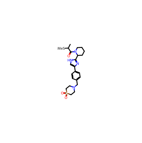 CSC(C)C(=O)N1CCCCC1c1nc(-c2ccc(CN3CCS(=O)(=O)CC3)cc2)c[nH]1